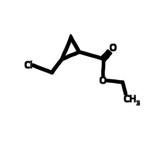 CCOC(=O)C1CC1CCl